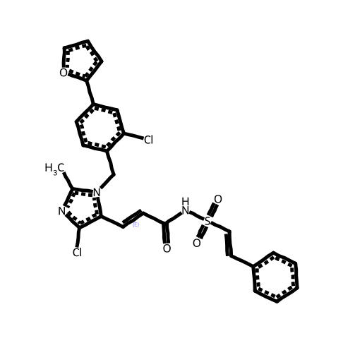 Cc1nc(Cl)c(/C=C/C(=O)NS(=O)(=O)C=Cc2ccccc2)n1Cc1ccc(-c2ccco2)cc1Cl